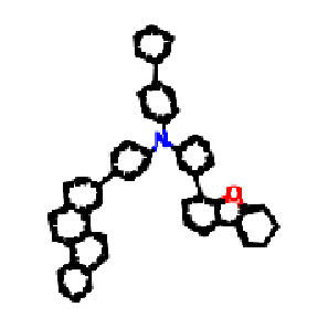 C1=c2oc3c(-c4cccc(N(c5ccc(-c6ccccc6)cc5)c5ccc(-c6ccc7ccc8c9ccccc9ccc8c7c6)cc5)c4)cccc3c2=CCC1